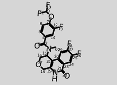 CN(C(=O)c1ccc(OC(F)F)c(F)c1)C1COCc2[nH]c(=O)c3cc(F)c(F)cc3c21